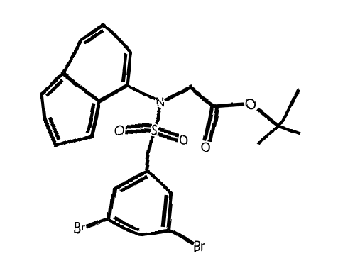 CC(C)(C)OC(=O)CN(c1cccc2ccccc12)S(=O)(=O)c1cc(Br)cc(Br)c1